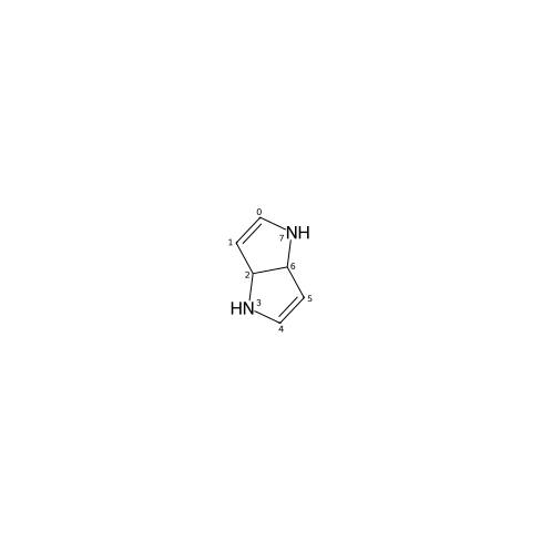 C1=CC2NC=CC2N1